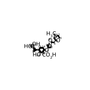 CN1CCO[C@@H](CC(=O)N2CC(Oc3ccc([C@H]4C[C@H]4B(O)O)c(O)c3C(=O)O)C2)C1